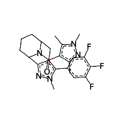 Cc1nn(C)c(C)c1C(=O)N1C2CCCC1c1nn(C)c(-c3cc(F)c(F)c(F)c3)c1C2